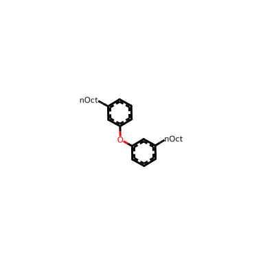 CCCCCCCCc1cccc(Oc2cccc(CCCCCCCC)c2)c1